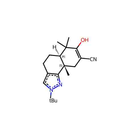 CC1(C)C(O)=C(C#N)C[C@]2(C)c3nn(C(C)(C)C)cc3CC[C@@H]12